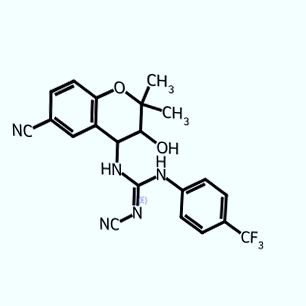 CC1(C)Oc2ccc(C#N)cc2C(N/C(=N\C#N)Nc2ccc(C(F)(F)F)cc2)C1O